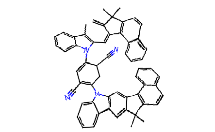 C=C1/C(=C\c2c(C)c3ccccc3n2C2=CC(C#N)=C(n3c4ccccc4c4cc5c(cc43)-c3c(ccc4ccccc34)C5(C)C)CC2C#N)c2c(ccc3ccccc23)C1(C)C